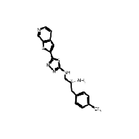 N[C@@H](CNc1nnc(-c2cc3ccncc3s2)s1)Cc1ccc(C(F)(F)F)cc1